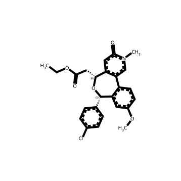 CCOC(=O)C[C@H]1O[C@@H](c2ccc(Cl)cc2)c2cc(OC)ccc2-c2cn(C)c(=O)cc21